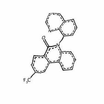 O=c1c2ccc(C(F)(F)F)cc2c2ccccc2n1-c1cccc2cccnc12